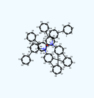 c1ccc(-c2cccc(N(c3cccc(-c4ccccc4)c3)c3ccc4c(c3)C3(c5ccccc5-4)c4ccccc4-c4ccc(N(c5cccc(-c6ccccc6)c5)c5cccc(-c6ccccc6)c5)cc43)c2)cc1